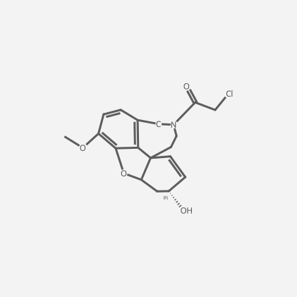 COc1ccc2c3c1OC1C[C@@H](O)C=CC31CCN(C(=O)CCl)C2